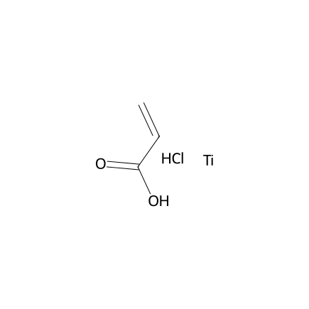 C=CC(=O)O.Cl.[Ti]